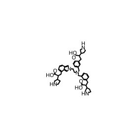 O=C(O)C(Cc1cccc(CN(CCn2cc3cccc(CC(C(=O)O)C4CCNC4)c3c2)Cc2cccc(CC(C(=O)O)C3CCNC3)c2)c1)C1CCNC1